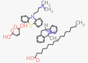 CCCCCCCCCCCCCCCC(=O)O.CN(C)CCCN1c2ccccc2Sc2ccccc21.C[C@]12N[C@H](Cc3ccccc31)c1ccccc12.O=C(O)/C=C\C(=O)O